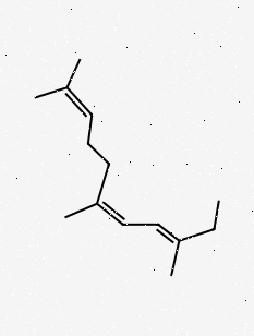 CCC(C)=CC=C(C)CCC=C(C)C